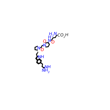 N=C(N)CCc1ccc2cc(CC[C@@H]3CCCN3C(=O)CN3CCCC(NC(=O)CC[C@@H](N)C(=O)O)C3=O)[nH]c2c1